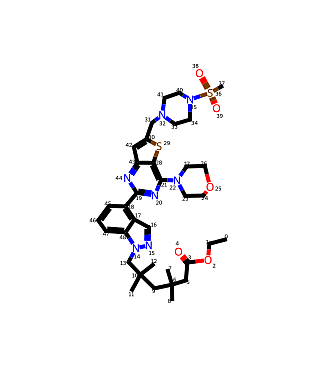 CCOC(=O)CC(C)(C)CC(C)(C)Cn1ncc2c(-c3nc(N4CCOCC4)c4sc(CN5CCN(S(C)(=O)=O)CC5)cc4n3)cccc21